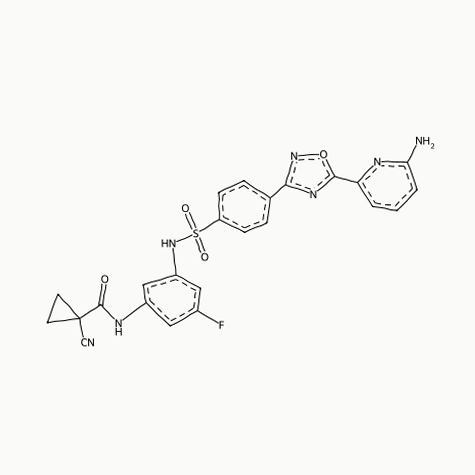 N#CC1(C(=O)Nc2cc(F)cc(NS(=O)(=O)c3ccc(-c4noc(-c5cccc(N)n5)n4)cc3)c2)CC1